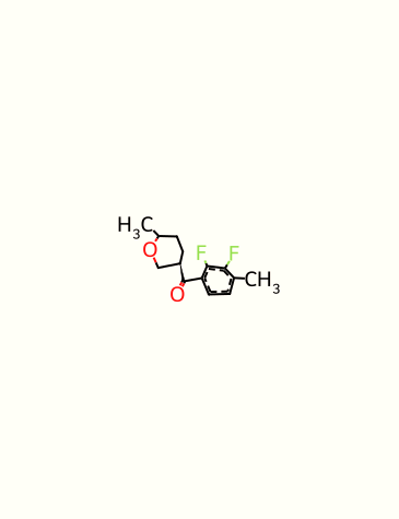 Cc1ccc(C(=O)[C@@H]2CCC(C)OC2)c(F)c1F